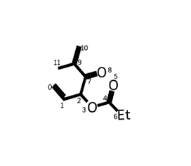 C=CC(OC(=O)CC)C(=O)C(=C)C